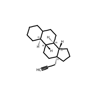 C#CC[C@@]12CCC[C@H]1[C@@H]1CCC3CCCC[C@@H]3[C@H]1CC2